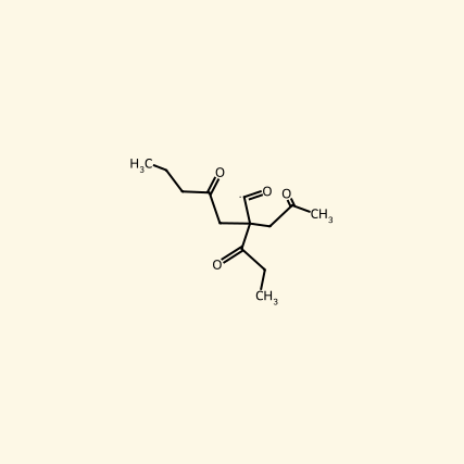 CCCC(=O)CC([C]=O)(CC(C)=O)C(=O)CC